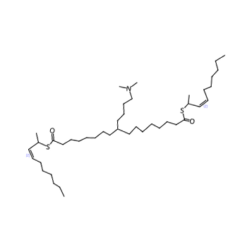 CCCCCC/C=C\C(C)SC(=O)CCCCCCCC(CCCCCCCC(=O)SC(C)/C=C\CCCCCC)CCCCN(C)C